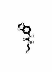 O=C(NCCF)Nc1ccc2c(c1)OCO2